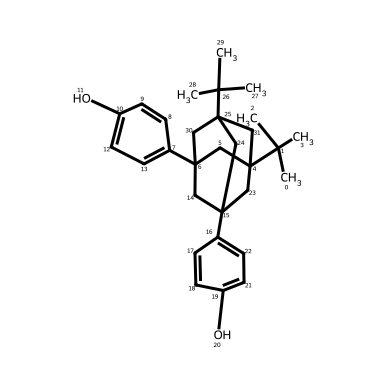 CC(C)(C)C12CC3(c4ccc(O)cc4)CC(c4ccc(O)cc4)(C1)CC(C(C)(C)C)(C3)C2